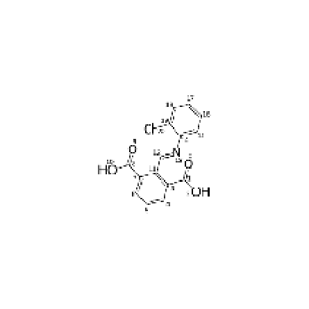 O=C(O)c1cccc(C(=O)O)c1C=Nc1ccccc1Cl